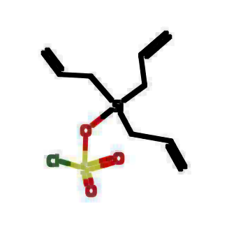 C=CC[Si](CC=C)(CC=C)OS(=O)(=O)Cl